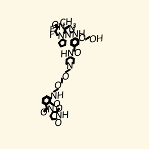 CN1C(=O)C(F)(F)CN(C2CCCC2)c2nc(Nc3ccc(C(=O)NC4CCN(CCOCCOCCNc5cccc6c5C(=O)N(C5CCC(=O)NC5=O)C6=O)CC4)cc3OCCO)ncc21